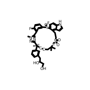 Cn1nc2nc1-c1cc(ccc1F)[S+]([O-])c1c(F)cc3[nH]ccc3c1CCS(=O)(=O)CC(C)(C)CCC[C@]2(C)c1cccc(C[C@H](O)CO)c1